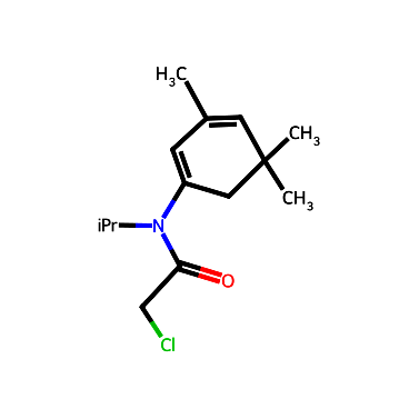 CC1=CC(C)(C)CC(N(C(=O)CCl)C(C)C)=C1